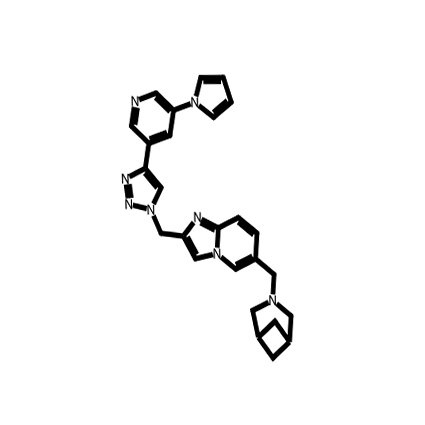 c1ccn(-c2cncc(-c3cn(Cc4cn5cc(CN6CC7CC(C7)C6)ccc5n4)nn3)c2)c1